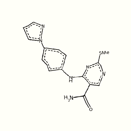 CSc1ncc(C(N)=O)c(Nc2ccc(-n3cccn3)cc2)n1